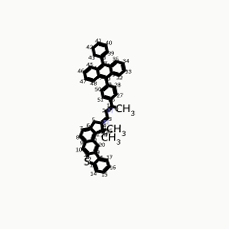 C/C(=C\C=C1/Cc2ccc3cc4sc5ccccc5c4cc3c2C1(C)C)c1ccc(-c2c3ccccc3c(C3=CC=CCC3)c3ccccc23)cc1